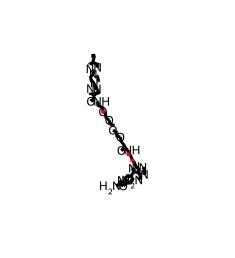 C#Cc1cnc(N2CCN(c3ncc(C(=O)NCCOCCOCCOCCOCCC(=O)NCCCCn4nc(-c5ccc6oc(N)nc6c5)c5c(N)ncnc54)cn3)CC2)nc1